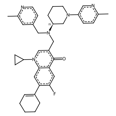 Cc1ccc(N2CCC[C@H](N(Cc3ccnc(C)c3)Cc3cn(C4CC4)c4cc(C5=CCCCC5)c(F)cc4c3=O)C2)cn1